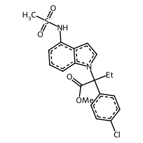 CCC(C(=O)OC)(c1ccc(Cl)cc1)n1ccc2c(NS(C)(=O)=O)cccc21